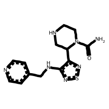 NC(=O)N1CCNCC1c1nsnc1NCc1ccncc1